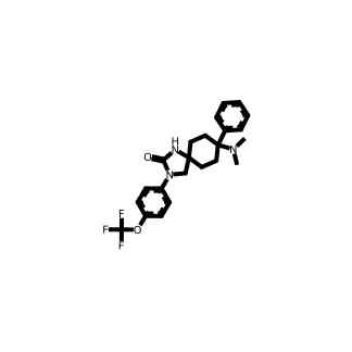 CN(C)C1(c2ccccc2)CCC2(CC1)CN(c1ccc(OC(F)(F)F)cc1)C(=O)N2